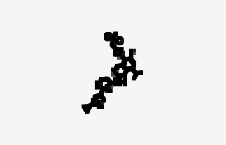 CC(C)c1cc(F)c(N2CC(CS(C)(=O)=O)C2)c2cnc(Nc3ccnc(-c4cnn(C5CC5)c4)n3)cc12